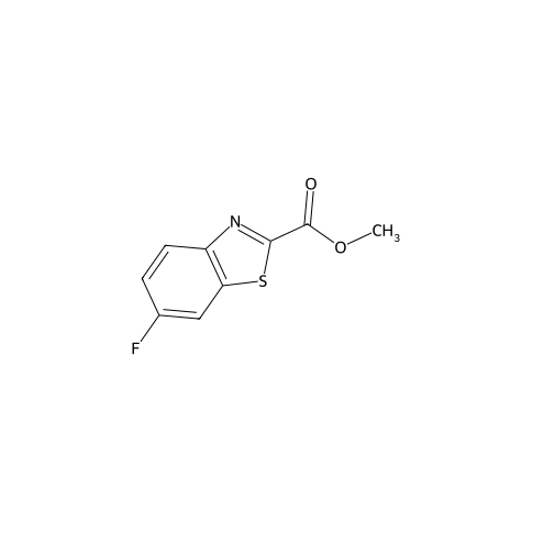 COC(=O)c1nc2ccc(F)cc2s1